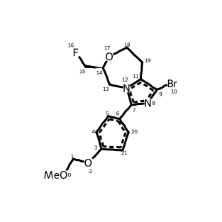 COCOc1ccc(-c2nc(Br)c3n2C[C@@H](CF)OCC3)cc1